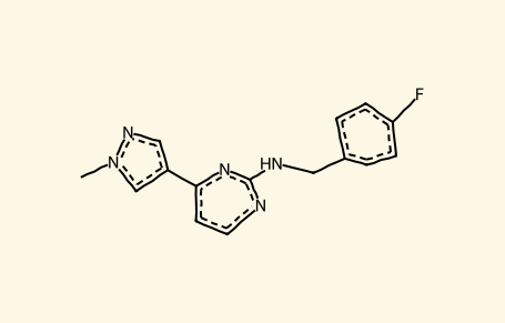 Cn1cc(-c2ccnc(NCc3ccc(F)cc3)n2)cn1